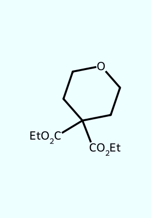 CCOC(=O)C1(C(=O)OCC)CCOCC1